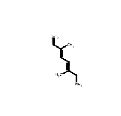 C=C/C(C)=C/C=C(\C)CN